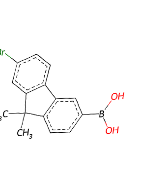 CC1(C)c2ccc(B(O)O)cc2-c2ccc(Br)cc21